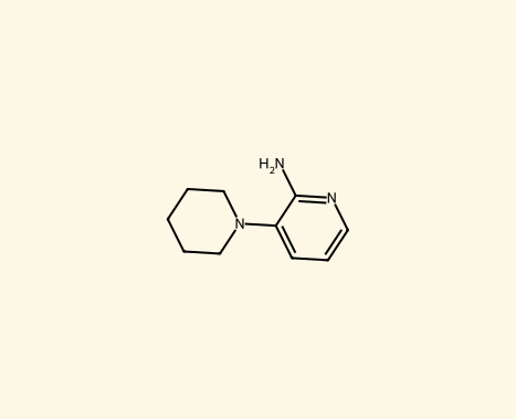 Nc1ncccc1N1CCCCC1